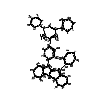 c1ccc(C2=NC(c3ccccc3)NC(c3ccc(-n4c5ccccc5c5c6ccccc6n(-c6ccccc6)c54)cc3)=N2)cc1